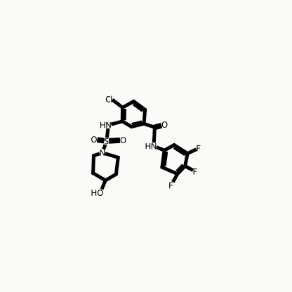 O=C(Nc1cc(F)c(F)c(F)c1)c1ccc(Cl)c(NS(=O)(=O)N2CCC(O)CC2)c1